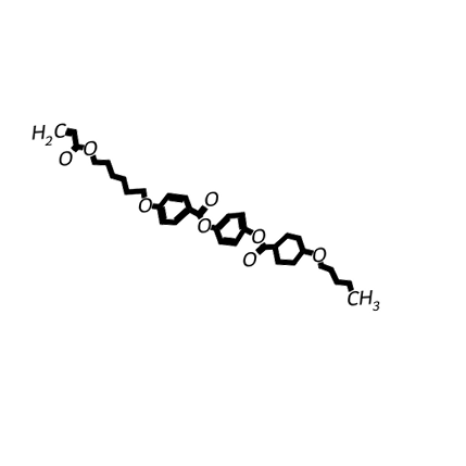 C=CC(=O)OCCCCCCOc1ccc(C(=O)Oc2ccc(OC(=O)C3CCC(OCCCCC)CC3)cc2)cc1